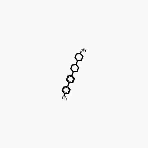 CCCC1CCC(C2CCC(c3ccc(-c4ccc(C#N)cc4)cc3)CC2)CC1